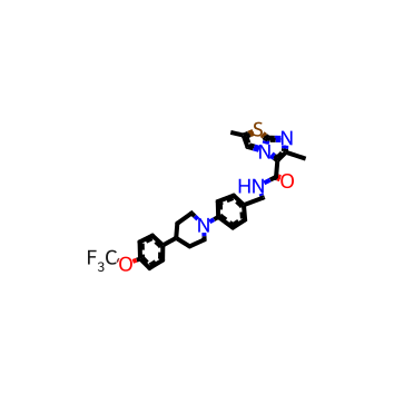 Cc1cn2c(C(=O)NCc3ccc(N4CCC(c5ccc(OC(F)(F)F)cc5)CC4)cc3)c(C)nc2s1